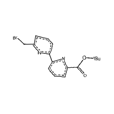 CC(C)(C)OC(=O)c1cccc(-c2cccc(CBr)n2)n1